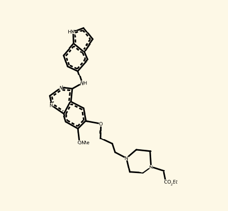 CCOC(=O)CN1CCN(CCCOc2cc3c(Nc4ccc5[nH]ccc5c4)ncnc3cc2OC)CC1